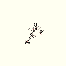 CC1(C)c2cc(-c3ccc4ccc5c(-c6ccc(-c7ccc(-c8nc9ccccc9n8-c8ccccc8)cc7)cc6)c6ccc7ccccc7c6nc5c4c3)ccc2-c2cc3c(-c4ccc(-c5nc6ccccc6n5-c5ccccc5)cc4)c4ccccc4c(-c4ccc5ccccc5c4)c3cc21